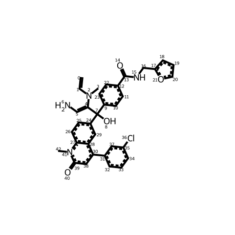 C=CN(C)/C(=C\N)C(O)(c1ccc(C(=O)NCc2ccco2)cc1)c1ccc2c(c1)c(-c1cccc(Cl)c1)cc(=O)n2C